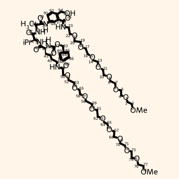 COCCOCCOCCOCCOCCOCCOCCOCCNC(=O)c1cc(NC(=O)[C@H](C)NC(=O)[C@@H](NC(=O)[C@H](CCCCNC(=O)COCCOCCOCCOCCOCCOCCOCCOCCOCCOC)NC(=O)OCc2ccccc2)C(C)C)ccc1CO